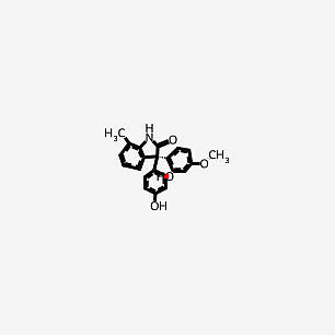 COc1ccc([C@@]2(c3ccc(O)cc3)C(=O)Nc3c(C)cccc32)c(O)c1